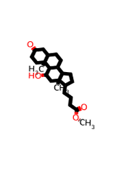 COC(=O)CCCC1CCC2C3CCC4CC(=O)CCC4(C)C3C(O)CC12C